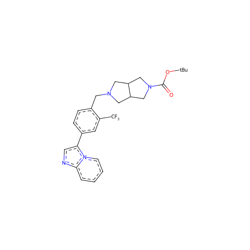 CC(C)(C)OC(=O)N1CC2CN(Cc3ccc(-c4cnc5ccccn45)cc3C(F)(F)F)CC2C1